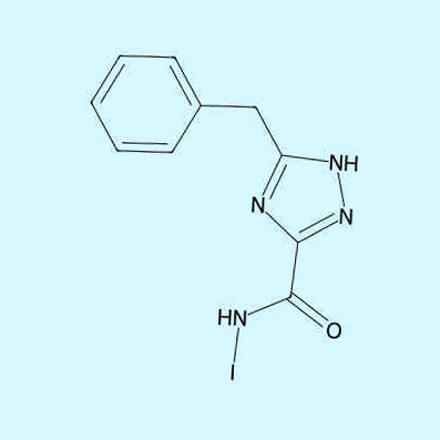 O=C(NI)c1n[nH]c(Cc2ccccc2)n1